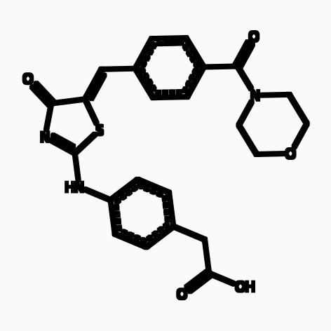 O=C(O)Cc1ccc(NC2=NC(=O)C(=Cc3ccc(C(=O)N4CCOCC4)cc3)S2)cc1